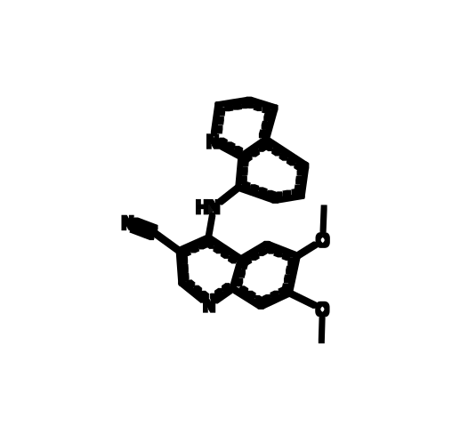 COc1cc2ncc(C#N)c(Nc3cccc4cccnc34)c2cc1OC